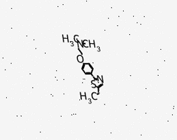 CCc1cnc(-c2ccc(OCCN(C)C)cc2)s1